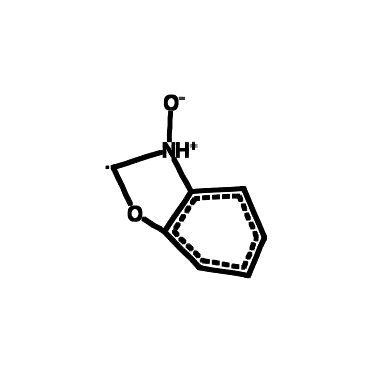 [O-][NH+]1[CH]Oc2ccccc21